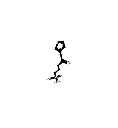 O=C(CCCS(=O)(=O)O)c1ccsc1